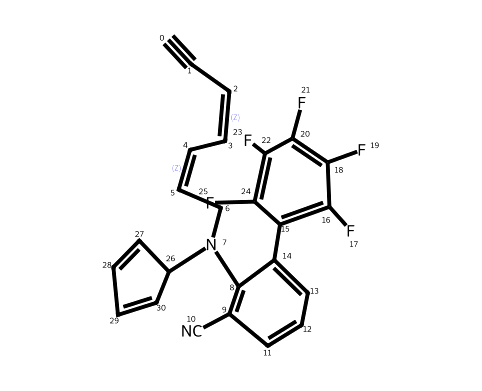 C#C/C=C\C=C/CN(c1c(C#N)cccc1-c1c(F)c(F)c(F)c(F)c1F)C1C=CC=C1